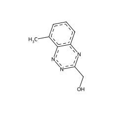 Cc1cccc2nc(CO)nnc12